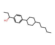 CCCCCC1CCC(c2ccc(C(O)CC)cc2)CC1